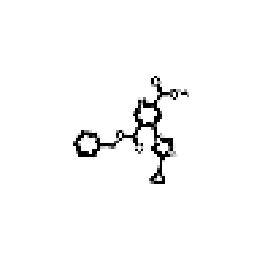 O=C(O)c1cc(-n2cnc(C3CC3)c2)c(C(=O)OCc2ccccc2)cn1